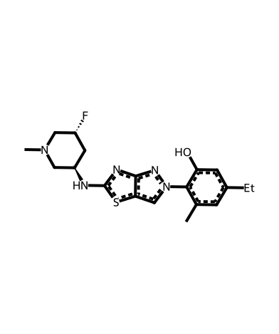 CCc1cc(C)c(-n2cc3sc(N[C@@H]4C[C@@H](F)CN(C)C4)nc3n2)c(O)c1